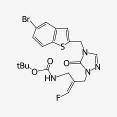 CC(C)(C)OC(=O)NC/C(=C\F)Cn1ncn(Cc2cc3cc(Br)ccc3s2)c1=O